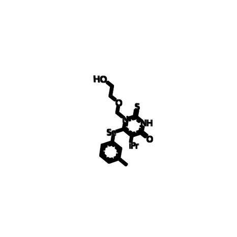 Cc1cccc([Se]c2c(C(C)C)c(=O)[nH]c(=S)n2COCCO)c1